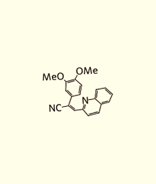 COc1ccc(C(C#N)=Cc2ccc3ccccc3n2)cc1OC